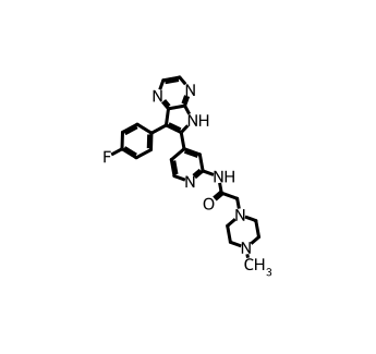 CN1CCN(CC(=O)Nc2cc(-c3[nH]c4nccnc4c3-c3ccc(F)cc3)ccn2)CC1